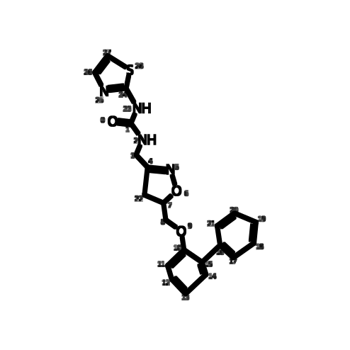 O=C(NCC1=NOC(COc2ccccc2-c2ccccc2)C1)Nc1nccs1